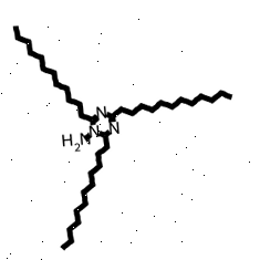 CCCCCCCCCCCCC1=NC(CCCCCCCCCCCC)N(N)C(CCCCCCCCCCCC)=N1